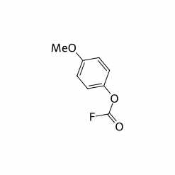 COc1ccc(OC(=O)F)cc1